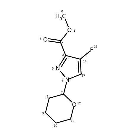 COC(=O)c1nn(C2CCCCO2)cc1F